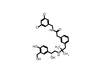 CC(C)(Cc1cccc(CC(=O)NCc2cc(Cl)cc(Cl)c2)c1)NC[C@H](O)c1ccc(O)c(CO)c1